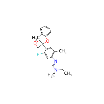 CCN(C)C=Nc1cc(F)c(C2(Oc3ccccc3C)COC2)cc1C